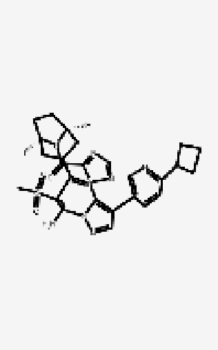 CS(=O)(=O)c1c(C2C[C@H]3CC[C@@H](C2)N3C(=O)c2ncn[nH]2)nc2c(-c3ccc(C4CCC4)nc3)cnn2c1N